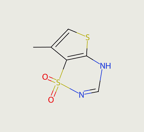 Cc1csc2c1S(=O)(=O)N=CN2